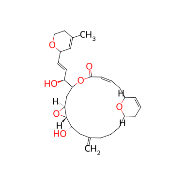 C=C1CCC[C@@H]2CC=C[C@@H](C/C=C\C(=O)OC([C@@H](O)/C=C/C3C=C(C)CCO3)C[C@@H]3O[C@H]3[C@@H](O)C1)O2